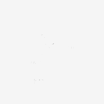 CCOC[C@]12CC3CC(C(=O)N[C@H]4CCN[C@H](C)C4)(C1)C[C@@](c1ccccc1)(C3)C2